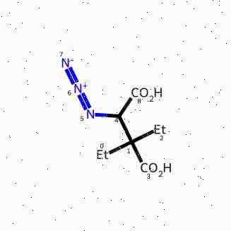 CCC(CC)(C(=O)O)C(N=[N+]=[N-])C(=O)O